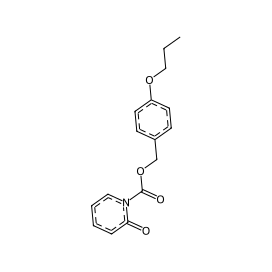 CCCOc1ccc(COC(=O)n2ccccc2=O)cc1